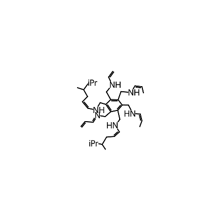 C=C/C=N/Cc1c(CN/C=C\CC(C)C(C)C)c(CNC=C)c(CN/C=C\C)c(CN/C=C\C)c1CN/C=C\CC(C)C(C)C